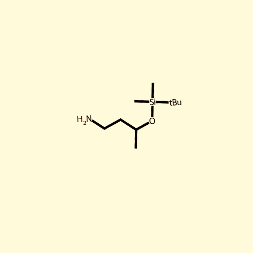 CC(CCN)O[Si](C)(C)C(C)(C)C